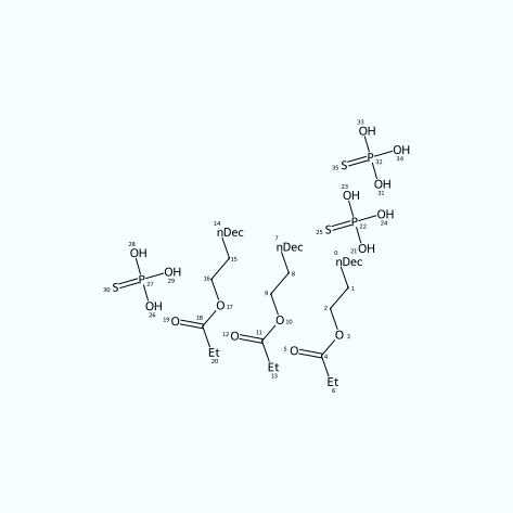 CCCCCCCCCCCCOC(=O)CC.CCCCCCCCCCCCOC(=O)CC.CCCCCCCCCCCCOC(=O)CC.OP(O)(O)=S.OP(O)(O)=S.OP(O)(O)=S